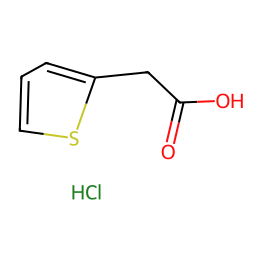 Cl.O=C(O)Cc1cccs1